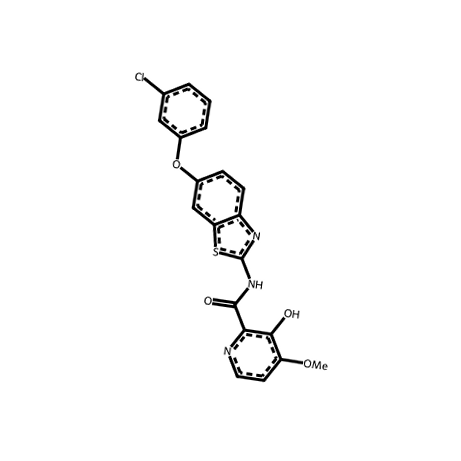 COc1ccnc(C(=O)Nc2nc3ccc(Oc4cccc(Cl)c4)cc3s2)c1O